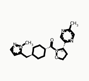 Cc1cnc([C@@H]2CCON2C(=O)[C@H]2CC[C@H](Cc3ccnn3C)CC2)cn1